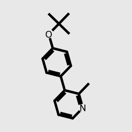 Cc1ncccc1-c1ccc(OC(C)(C)C)cc1